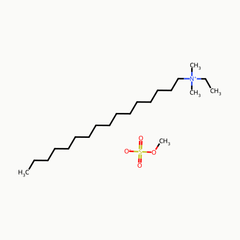 CCCCCCCCCCCCCCCC[N+](C)(C)CC.COS(=O)(=O)[O-]